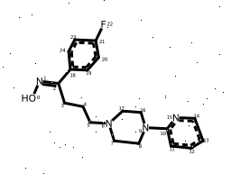 O/N=C(\CCCN1CCN(c2ccccn2)CC1)c1ccc(F)cc1